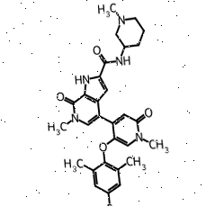 Cc1cc(F)cc(C)c1Oc1cn(C)c(=O)cc1-c1cn(C)c(=O)c2[nH]c(C(=O)NC3CCCN(C)C3)cc12